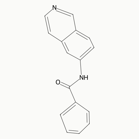 O=C(Nc1ccc2cnccc2c1)c1ccccc1